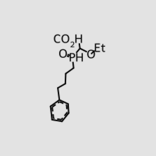 CCOC(C(=O)O)[PH](=O)CCCCc1ccccc1